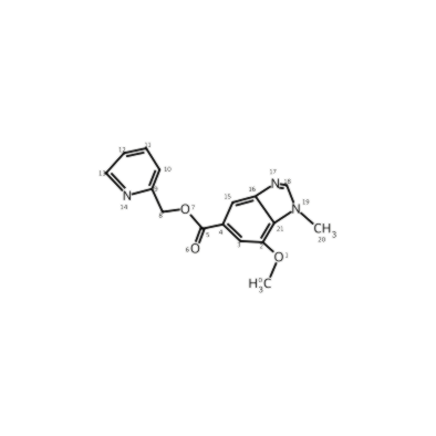 COc1cc(C(=O)OCc2ccccn2)cc2ncn(C)c12